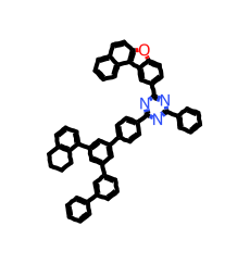 c1ccc(-c2cccc(-c3cc(-c4ccc(-c5nc(-c6ccccc6)nc(-c6ccc7oc8ccc9ccccc9c8c7c6)n5)cc4)cc(-c4cccc5c4CCCC5)c3)c2)cc1